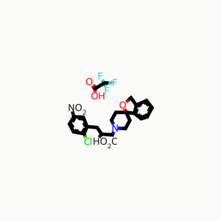 O=C(O)C(Cc1cc([N+](=O)[O-])ccc1Cl)CN1CCC2(CC1)OCc1ccccc12.O=C(O)C(F)(F)F